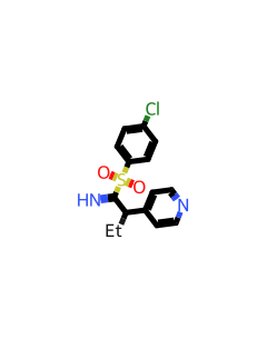 CCC(C(=N)S(=O)(=O)c1ccc(Cl)cc1)c1ccncc1